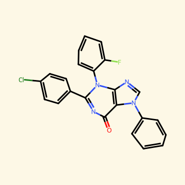 O=c1nc(-c2ccc(Cl)cc2)n(-c2ccccc2F)c2ncn(-c3ccccc3)c12